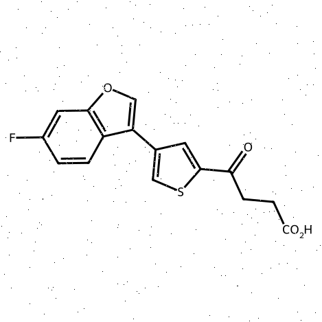 O=C(O)CCC(=O)c1cc(-c2coc3cc(F)ccc23)cs1